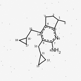 CC1CCc2c1nc(N)c(CC1CC1)c2CC1CC1